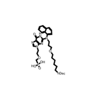 CCCCCCCCCCCCCCCCOCCCN(c1nc2c(ncn2CCOCP(=O)(O)O)c(=O)[nH]1)c1cccc2ccccc12